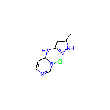 Cc1cc(NC2C=CN=CN2Cl)n[nH]1